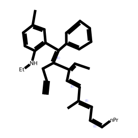 C#CC/C(C(=CC)/C=C/C(C)=C/C=C\CCC)=C(/c1ccccc1)c1cc(C)ccc1NCC